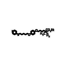 CCOC(=O)C(C)(C)CCCCOc1ccc(OCCCCCSc2ccncc2)cc1